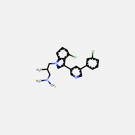 CC(CN(C)C)Cn1cc(-c2cncc(-c3cccc(Cl)c3)c2)c2c(Cl)cccc21